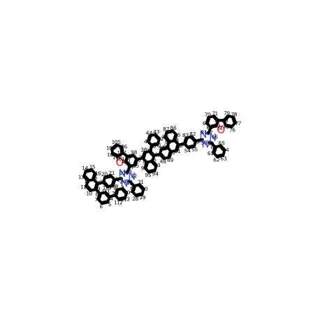 c1ccc(-c2cccc(-c3ccc4ccccc4c3-c3ccc(-c4nc(-c5ccccc5)nc(-c5cc(-c6cc(-c7ccccc7)c(-c7ccc8cc(-c9ccc(-c%10nc(-c%11ccccc%11)nc(-c%11cccc%12c%11oc%11ccccc%11%12)n%10)cc9)c9ccccc9c8c7)c7ccccc67)cc6c5oc5ccccc56)n4)cc3)c2)cc1